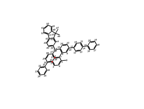 Cc1cccc(C)c1-c1cc(-c2ccc(-c3ccccc3)cc2)ccc1N(c1ccc(-c2ccccc2)cc1)c1ccc2c(c1)C(C)(C)c1ccccc1-2